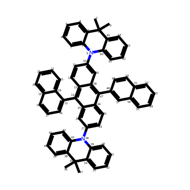 CC1(C)c2ccccc2N(c2ccc3c(-c4cccc5ccccc45)c4cc(N5c6ccccc6C(C)(C)c6ccccc65)ccc4c(-c4ccc5ccccc5c4)c3c2)c2ccccc21